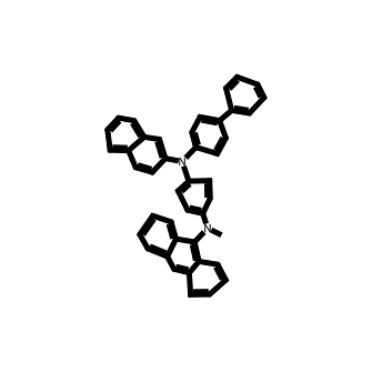 CN(c1ccc(N(c2ccc(-c3ccccc3)cc2)c2ccc3ccccc3c2)cc1)c1c2ccccc2cc2ccccc12